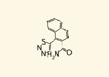 NC(=O)c1ccc2ccccc2c1-c1cnns1